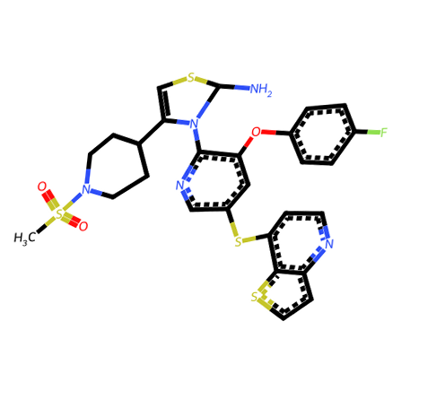 CS(=O)(=O)N1CCC(C2=CSC(N)N2c2ncc(Sc3ccnc4ccsc34)cc2Oc2ccc(F)cc2)CC1